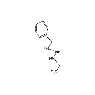 CCNNNCc1ccccc1